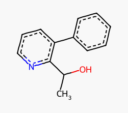 CC(O)c1ncccc1-c1ccccc1